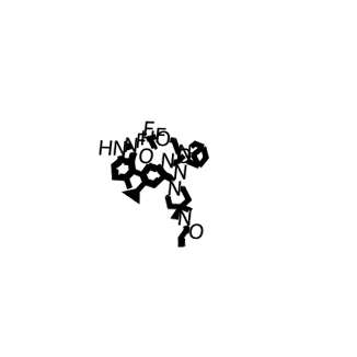 C=CC(=O)N1CC2(CCN(c3nc(OC4C5CC4CN(CCO)C5)nc4c(OCC(F)(F)F)c(-c5c(C)ccc6[nH]ncc56)c(C5CC5)cc34)CC2)C1